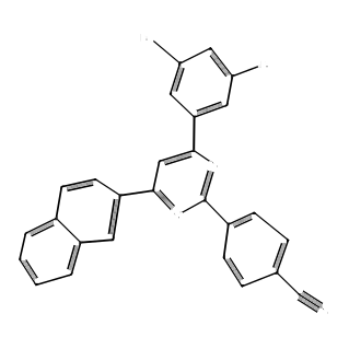 N#Cc1ccc(-c2nc(-c3cc(Br)cc(Br)c3)cc(-c3ccc4ccccc4c3)n2)cc1